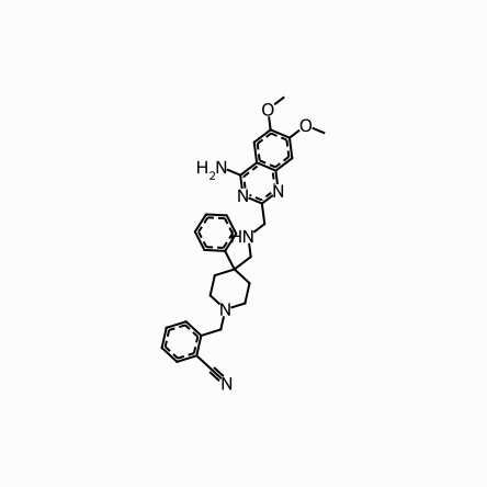 COc1cc2nc(CNCC3(c4ccccc4)CCN(Cc4ccccc4C#N)CC3)nc(N)c2cc1OC